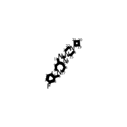 Fc1cccc(CN2CCc3cnc(N4CCN(C5CCC5)CC4)nc3CC2)c1